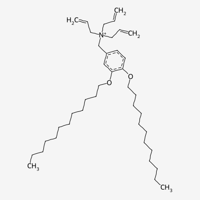 C=CC[N+](CC=C)(CC=C)Cc1ccc(OCCCCCCCCCCCC)c(OCCCCCCCCCCCC)c1